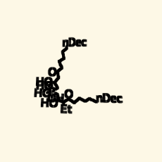 CCCCCCCCCCCCCCCC(=O)CC(O)CP(O)(O)(O)CC(O)C(CC)C(=O)CCCCCCCCCCCCCCC